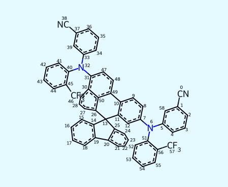 N#Cc1cccc(N(c2ccc3c(c2)C2(c4ccccc4-c4ccccc42)c2cccc4c(N(c5cccc(C#N)c5)c5ccccc5C(F)(F)F)ccc-3c24)c2ccccc2C(F)(F)F)c1